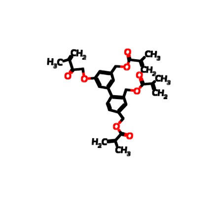 C=C(C)C(=O)COc1cc(COC(=O)C(=C)C)cc(-c2ccc(COC(=O)C(=C)C)cc2COC(=O)C(=C)C)c1